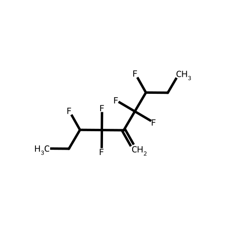 C=C(C(F)(F)C(F)CC)C(F)(F)C(F)CC